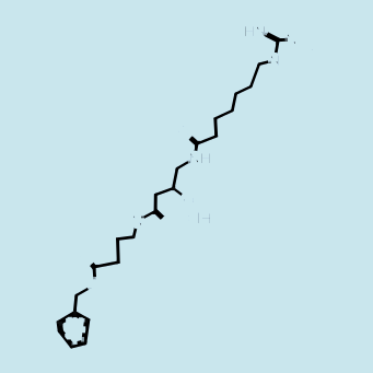 Cl.N=C(N)NCCCCCCC(=O)NCC(O)CC(=O)NCCCC(=O)OCc1ccccc1